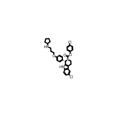 O=C(Oc1ccc(Cl)cc1)N1CCc2c([nH]c3ccc(Cl)cc23)[C@@H]1c1ccc(OCCCNC2CCCC2)cc1